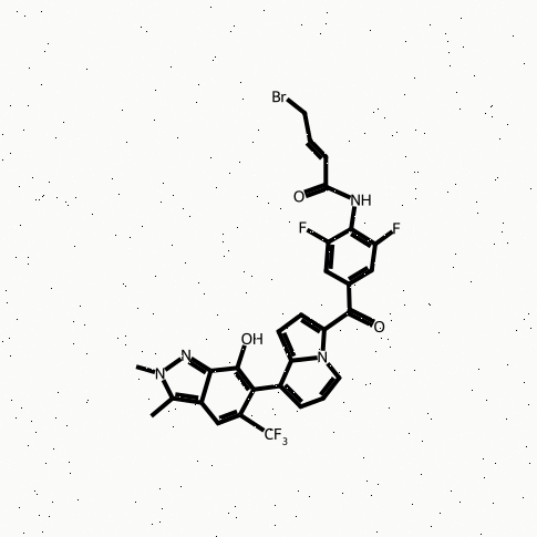 Cc1c2cc(C(F)(F)F)c(-c3cccn4c(C(=O)c5cc(F)c(NC(=O)/C=C/CBr)c(F)c5)ccc34)c(O)c2nn1C